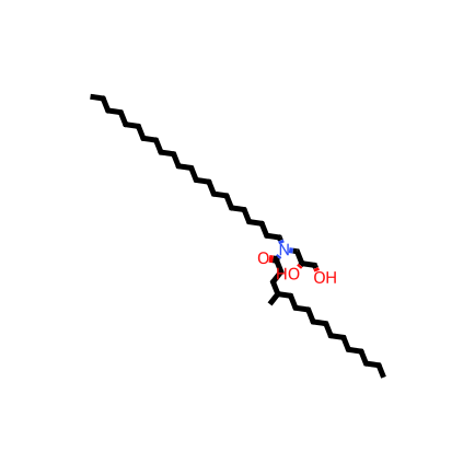 CCCCCCCCCCCCCCCCCCCCCCN(CC(O)CO)C(=O)CCC(C)CCCCCCCCCCCC